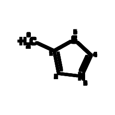 [CH2]c1cncs1